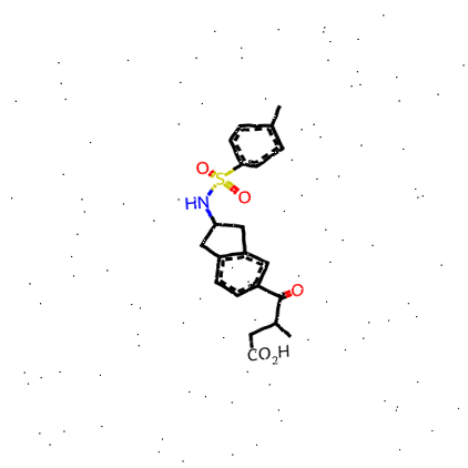 Cc1ccc(S(=O)(=O)NC2Cc3ccc(C(=O)C(C)CC(=O)O)cc3C2)cc1